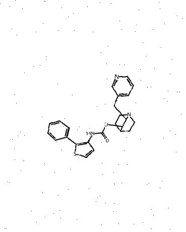 O=C(Nc1ccsc1-c1ccccc1)OC1C2CCN(CC2)C1Cc1cccnc1